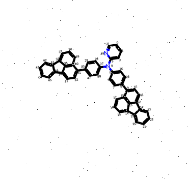 c1ccc(N(c2ccc(-c3ccc4c5c(cccc35)-c3ccccc3-4)cc2)c2ccc(-c3ccc4c5c(cccc35)-c3ccccc3-4)cc2)nc1